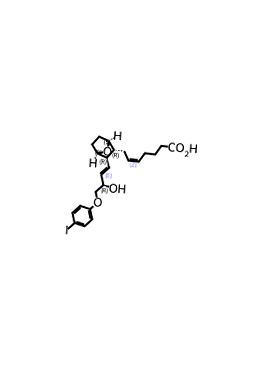 O=C(O)CCC/C=C\C[C@@H]1[C@@H](/C=C/[C@@H](O)COc2ccc(I)cc2)[C@H]2CC[C@@H]1O2